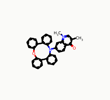 Cc1cn(C)c2cc(N3c4ccccc4-c4ccccc4Oc4ccccc4-c4ccccc43)ccc2c1=O